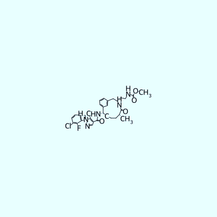 COC(=O)NCC[C@H]1Cc2cccc(c2)[C@@H](NC(=O)c2cnn(-c3cccc(Cl)c3F)c2C)CCC[C@@H](C)C(=O)N1